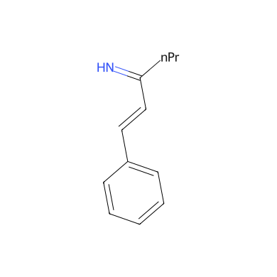 C[CH]CC(=N)C=Cc1ccccc1